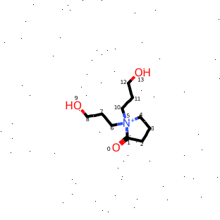 O=C1CCC[N+]1(CCCO)CCCO